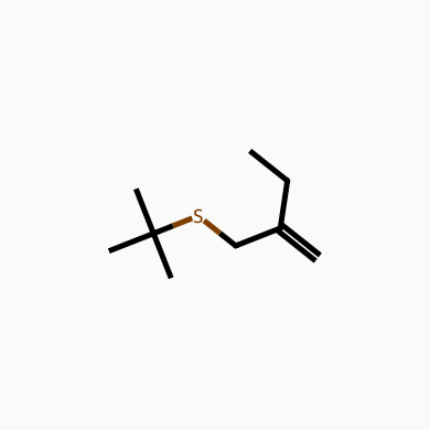 C=C(CC)CSC(C)(C)C